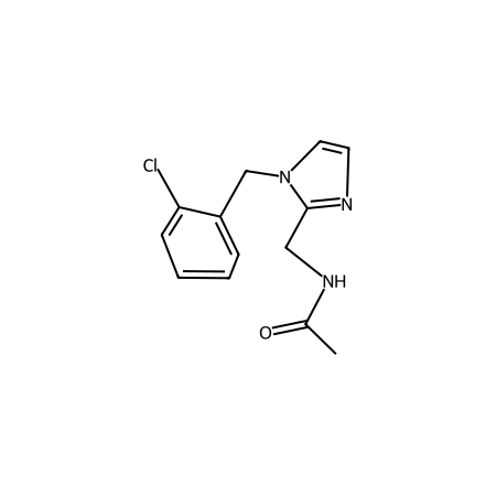 CC(=O)NCc1nccn1Cc1ccccc1Cl